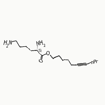 CCCC#CCCCCCOC(=O)[C@@H](N)CCCCN